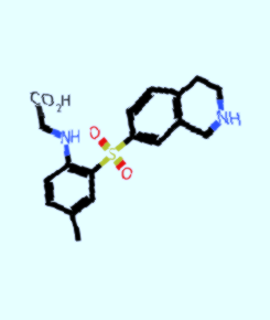 Cc1ccc(NCC(=O)O)c(S(=O)(=O)c2ccc3c(c2)CNCC3)c1